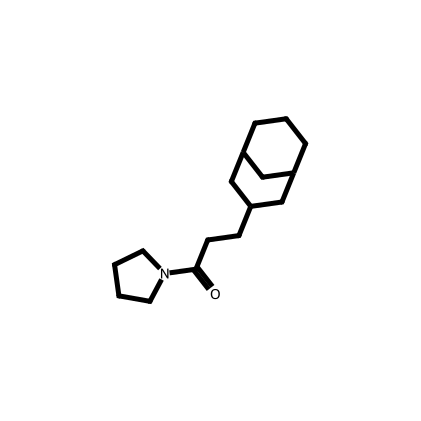 O=C(CCC1CC2CCCC(C2)C1)N1CCCC1